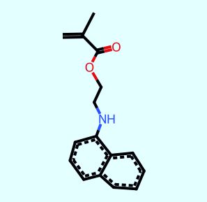 C=C(C)C(=O)OCCNc1cccc2ccccc12